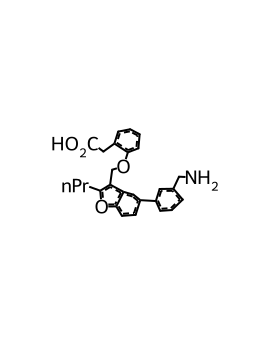 CCCc1oc2ccc(-c3cccc(CN)c3)cc2c1COc1ccccc1CC(=O)O